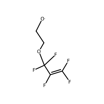 [O]CCOC(F)(F)C(F)=C(F)F